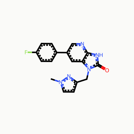 Cn1ccc(Cn2c(=O)[nH]c3ncc(-c4ccc(F)cc4)cc32)n1